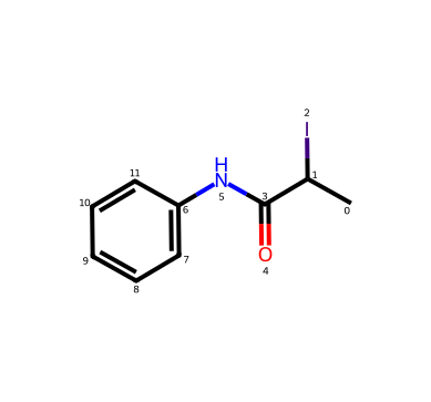 CC(I)C(=O)Nc1ccccc1